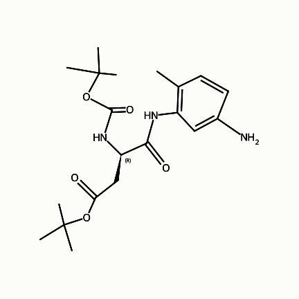 Cc1ccc(N)cc1NC(=O)[C@@H](CC(=O)OC(C)(C)C)NC(=O)OC(C)(C)C